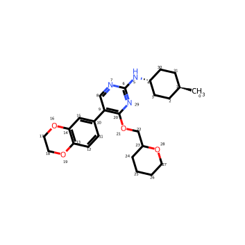 C[C@H]1CC[C@H](Nc2ncc(-c3ccc4c(c3)OCCO4)c(OCC3CCCCO3)n2)CC1